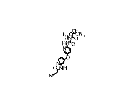 CC(C)(C)C(=O)NC(=O)Nc1ccc(Oc2ccnc(NC(=O)CC#N)c2)cn1